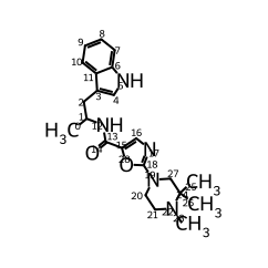 CC(Cc1c[nH]c2ccccc12)NC(=O)c1cnc(N2CCN(C)C(C)(C)C2)o1